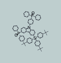 CC(C)(C)c1ccc([Si](c2ccc(C(C)(C)C)cc2)(c2ccc(C(C)(C)C)cc2)c2ccc3c(c2)c2cc(P(=O)(c4ccccc4)c4ccccc4)ccc2n3-c2ccc(P(=O)(c3ccccc3)c3ccccc3)cc2)cc1